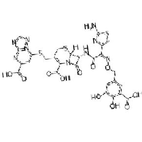 Nc1nc(/C(=N/OCc2cc(O)c(O)c(C(=O)O)c2)C(=O)N[C@@H]2C(=O)N3C(C(=O)O)=C(CSc4cc(C(=O)O)nc5ncnn45)CS[C@H]23)cs1